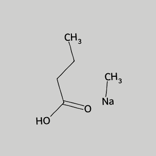 CCCC(=O)O.[CH3][Na]